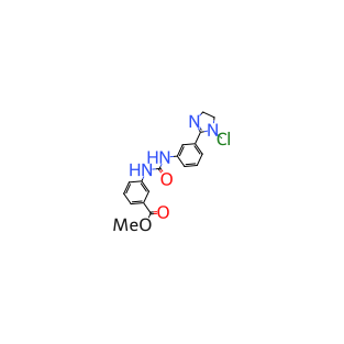 COC(=O)c1cccc(NC(=O)Nc2cccc(C3=NCCN3Cl)c2)c1